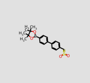 CC1(C)OB(c2ccc(-c3ccc(C[SH](=O)=O)cc3)cc2)OC1(C)C